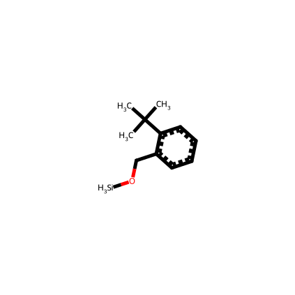 CC(C)(C)c1ccccc1CO[SiH3]